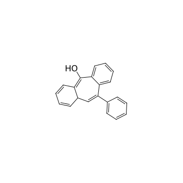 OC1=C2C=CC=CC2C=C(c2ccccc2)c2ccccc21